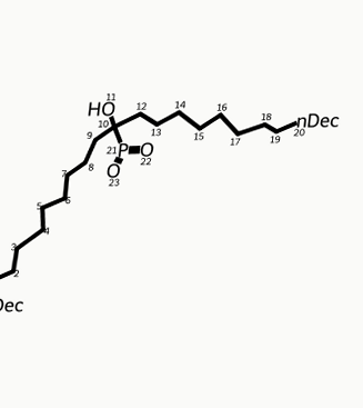 CCCCCCCCCCCCCCCCCCCC(O)(CCCCCCCCCCCCCCCCCC)P(=O)=O